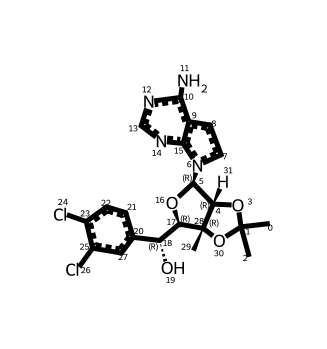 CC1(C)O[C@H]2[C@H](n3ccc4c(N)ncnc43)O[C@H]([C@H](O)c3ccc(Cl)c(Cl)c3)[C@@]2(C)O1